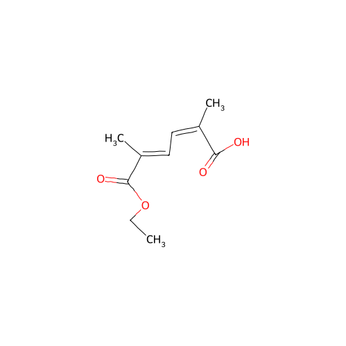 CCOC(=O)C(C)=CC=C(C)C(=O)O